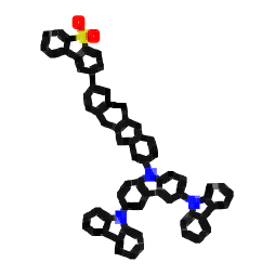 O=S1(=O)c2ccccc2-c2cc(-c3ccc4c(c3)Cc3cc5ccc(-n6c7ccc(-n8c9ccccc9c9ccccc98)cc7c7cc(-n8c9ccccc9c9ccccc98)ccc76)cc5cc3C4)ccc21